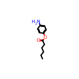 CCCCCC(=O)Oc1ccc(N)cc1